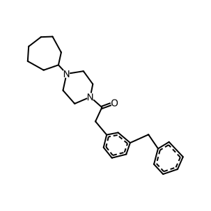 O=C(Cc1cccc(Cc2ccccc2)c1)N1CCN(C2CCCCCC2)CC1